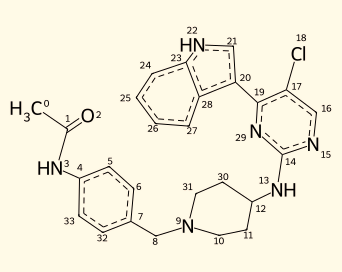 CC(=O)Nc1ccc(CN2CCC(Nc3ncc(Cl)c(-c4c[nH]c5ccccc45)n3)CC2)cc1